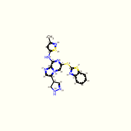 Cc1cc(Nc2nc(Sc3nc4ccccc4s3)cn3c(C4C=NNC4)cnc23)sn1